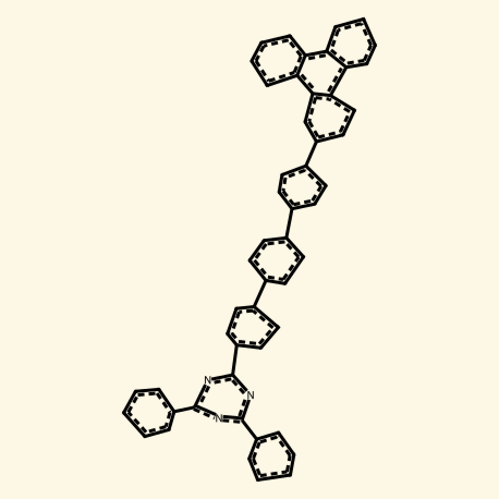 c1ccc(-c2nc(-c3ccccc3)nc(-c3ccc(-c4ccc(-c5ccc(-c6ccc7c8ccccc8c8ccccc8c7c6)cc5)cc4)cc3)n2)cc1